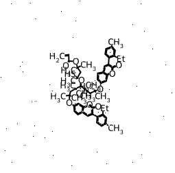 C=CC(=O)OC(C)(C)CC(C)(S)OC(C(C)(C)CC(C)(C)Oc1ccc2cc(-c3ccc(C)cc3CC)c(=O)oc2c1)C(C)(C)CC(C)(C)Oc1ccc2cc(-c3ccc(C)cc3CC)c(=O)oc2c1